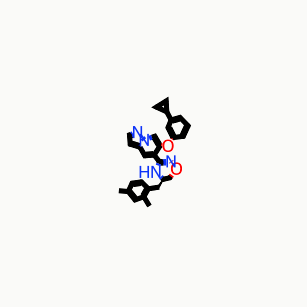 Cc1ccc(C[C@@H]2CON=C(c3cc4ccnn4cc3Oc3cccc(C4CC4)c3)N2)c(C)c1